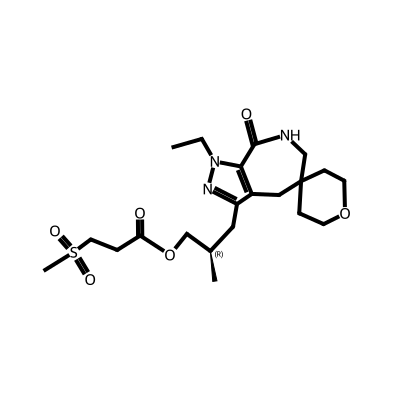 CCn1nc(C[C@@H](C)COC(=O)CCS(C)(=O)=O)c2c1C(=O)NCC1(CCOCC1)C2